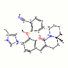 COc1cc(C=C2CC[C@H]3CCC[C@@H](c4ccc(C#N)cc4)N3C2=O)ccc1-n1cnc(C)c1